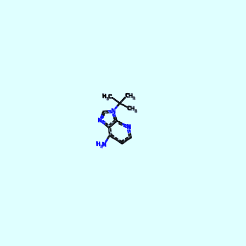 CC(C)(C)n1cnc2c(N)ccnc21